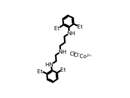 CCc1cccc(CC)c1NCCCNCCNc1c(CC)cccc1CC.[Cl-].[Cl-].[Co+2]